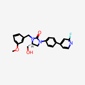 COc1cccc(CN2C(=O)N(c3ccc(-c4ccnc(F)c4)cc3)C[C@@H]2CO)c1